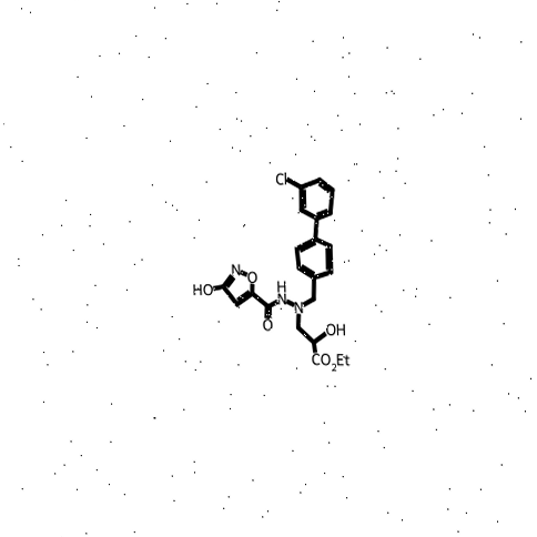 CCOC(=O)C(O)CN(Cc1ccc(-c2cccc(Cl)c2)cc1)NC(=O)c1cc(O)no1